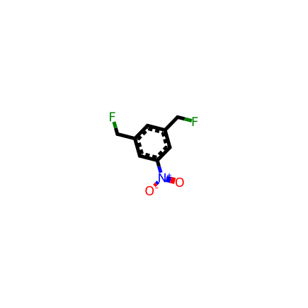 O=[N+]([O-])c1cc(CF)cc(CF)c1